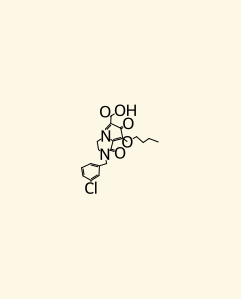 CCCCOc1c2n(cc(C(=O)O)c1=O)CCN(Cc1cccc(Cl)c1)C2=O